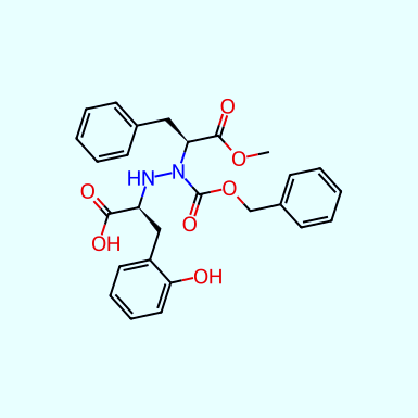 COC(=O)[C@H](Cc1ccccc1)N(N[C@@H](Cc1ccccc1O)C(=O)O)C(=O)OCc1ccccc1